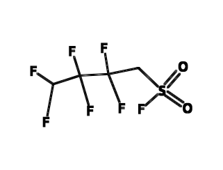 O=S(=O)(F)CC(F)(F)C(F)(F)C(F)F